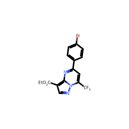 CCOC(=O)c1cnn2c(C(F)(F)F)cc(-c3ccc(Br)cc3)nc12